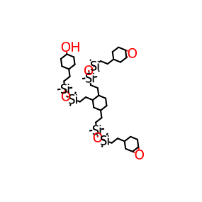 C[Si](C)(CCC1CCC(CC[Si](C)(C)O[Si](C)(C)CCC2CCC3OC3C2)C(CC[Si](C)(C)O[Si](C)(C)CCC2CCC(O)CC2)C1)O[Si](C)(C)CCC1CCC2OC2C1